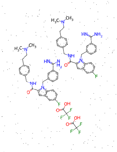 CN(C)CCc1ccc(CNC(=O)c2cc3cc(F)ccc3n2Cc2cccc(C(=N)N)c2)cc1.CN(C)CCc1ccc(CNC(=O)c2cc3cc(F)ccc3n2Cc2cccc(C(=N)N)c2)cc1.O=C(O)C(F)(F)F.O=C(O)C(F)(F)F